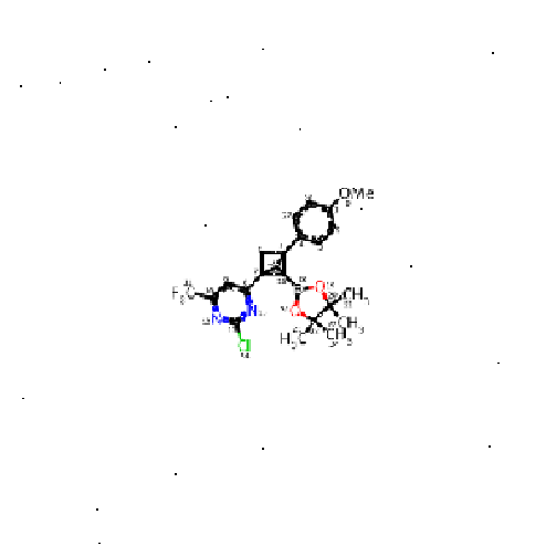 COc1ccc(C23CC(c4cc(C(F)(F)F)nc(Cl)n4)(C2)C3B2OC(C)(C)C(C)(C)O2)cc1